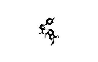 CCN1Cc2c(ccnc2N[C@@H](C)c2ccn(-c3ccc(F)cc3)n2)C1=O